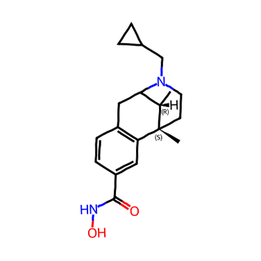 C[C@H]1C2Cc3ccc(C(=O)NO)cc3[C@@]1(C)CCN2CC1CC1